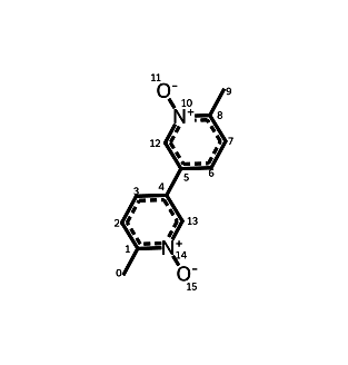 Cc1ccc(-c2ccc(C)[n+]([O-])c2)c[n+]1[O-]